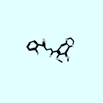 COc1c(C(=O)CCC(=O)c2ccccc2F)cc2c(c1OC)OCCO2